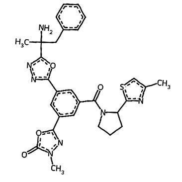 Cc1csc(C2CCCN2C(=O)c2cc(-c3nnc(C(C)(N)Cc4ccccc4)o3)cc(-c3nn(C)c(=O)o3)c2)n1